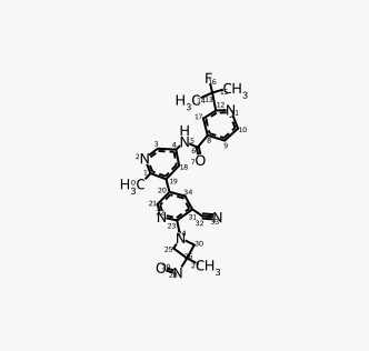 Cc1ncc(NC(=O)c2ccnc(C(C)(C)F)c2)cc1-c1cnc(N2CC(C)(N=O)C2)c(C#N)c1